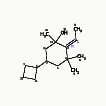 C/C=C1/C(C)(C)CC(C2CCC2)CC1(C)O